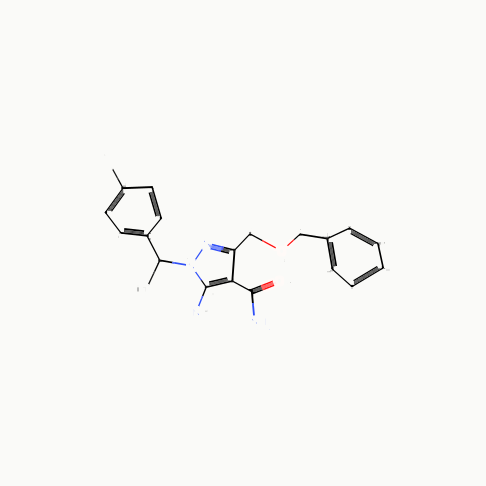 CC(C)C(c1ccc(C(F)(F)F)cc1)n1nc(COCc2ccccc2)c(C(N)=O)c1N